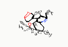 CC(C)c1nc2c(c(C3=CCOCC3)c1C=O)[C@@H](O[Si](C)(C)C(C)(C)C)CC(C)(C)C2